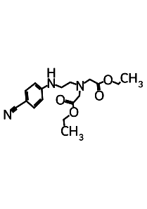 CCOC(=O)CN(CCNc1ccc(C#N)cc1)CC(=O)OCC